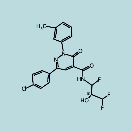 Cc1cccc(-n2nc(-c3ccc(Cl)cc3)cc(C(=O)NC(F)[C@H](O)C(F)F)c2=O)c1